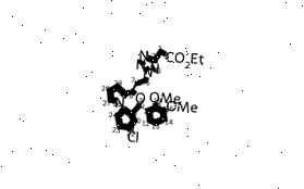 CCOC(=O)Cc1nnn(CC[C@H]2O[C@H](c3cccc(OC)c3OC)c3cc(Cl)ccc3-n3cccc32)n1